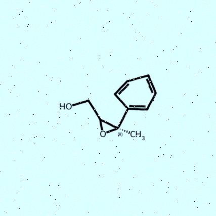 C[C@]1(c2ccccc2)OC1CO